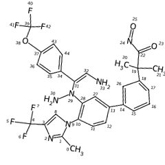 Cc1nc(C(F)(F)F)cn1-c1ccc(-c2cccc(C(C)(C)C(=O)N=O)c2)cc1N(N)/C(=C\N)c1ccc(OC(F)(F)F)cc1